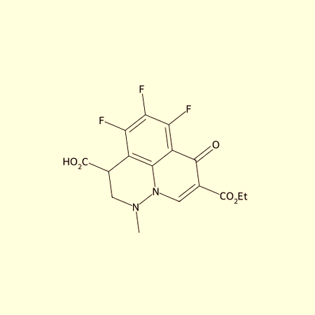 CCOC(=O)c1cn2c3c(c(F)c(F)c(F)c3c1=O)C(C(=O)O)CN2C